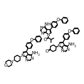 CC(C)C(=O)n1cc(-c2ccc(Oc3ccccc3)cc2)c2c(N)ncnc21.Nc1ncnc2c1c(-c1ccc(Oc3ccccc3)cc1)cn2C1CCC(=O)CC1.Nc1ncnc2c1c(-c1ccc(Oc3ccccc3)cc1)cn2[C@H]1CC[C@@H](N2CCOCC2)CC1